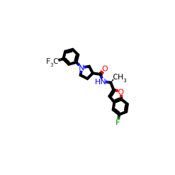 C[C@@H](NC(=O)C1CCN(c2cccc(C(F)(F)F)c2)C1)c1cc2cc(F)ccc2o1